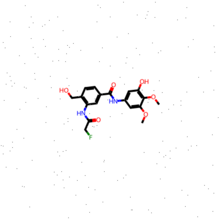 COc1cc(NC(=O)c2ccc(CO)c(NC(=O)CF)c2)cc(O)c1OC